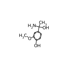 COc1cc(C(C)(N)O)ccc1O